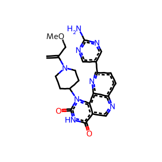 C=C(COC)N1CCC(n2c(=O)[nH]c(=O)c3cnc4ccc(-c5cnc(N)nc5)nc4c32)CC1